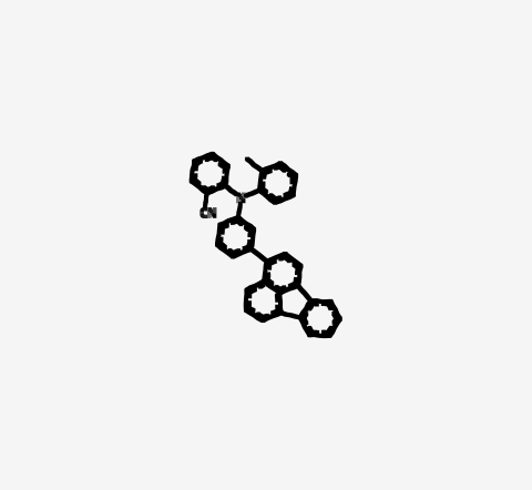 Cc1ccccc1N(c1cccc(-c2ccc3c4c(cccc24)-c2ccccc2-3)c1)c1ccccc1C#N